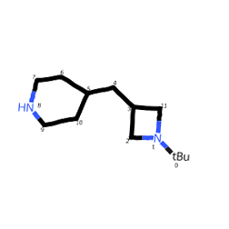 CC(C)(C)N1CC(CC2CCNCC2)C1